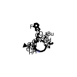 C=CC(=O)N(C)C1CCC/C=C\[C@@H]2C[C@@]2(C(=O)NS(=O)(=O)C2CC2)NC(=O)[C@@H]2C[C@@H](OC(=O)N3Cc4cccc(F)c4C3)CN2C(=O)[C@@H](NC(=O)OC(C)(C)C)C1